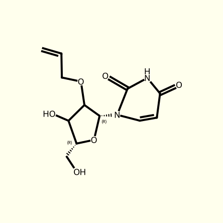 C=CCOC1C(O)[C@@H](CO)O[C@H]1n1ccc(=O)[nH]c1=O